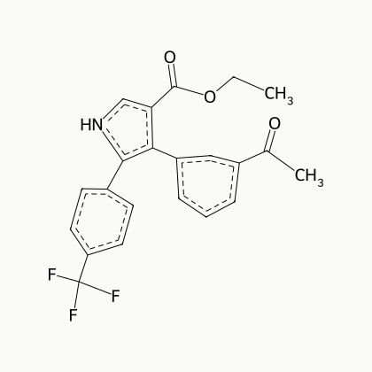 CCOC(=O)c1c[nH]c(-c2ccc(C(F)(F)F)cc2)c1-c1cccc(C(C)=O)c1